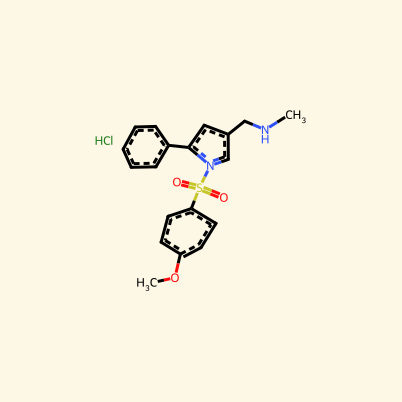 CNCc1cc(-c2ccccc2)n(S(=O)(=O)c2ccc(OC)cc2)c1.Cl